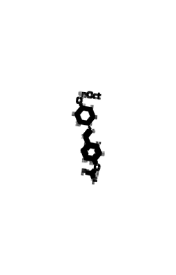 CCCCCCCCO[C@H]1CC[C@H](C=Cc2ccc(OC(F)F)cc2)CC1